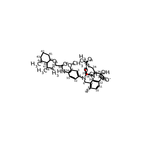 COc1cc(N(Cc2c(F)ccc([N+](=O)[O-])c2N2CCN(C(C)=O)CC2C(=O)O)C(C)=O)ccc1NC(=O)COC1CCCC(C)C1C(C)C